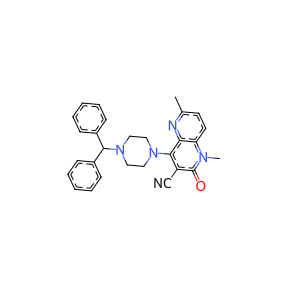 Cc1ccc2c(n1)c(N1CCN(C(c3ccccc3)c3ccccc3)CC1)c(C#N)c(=O)n2C